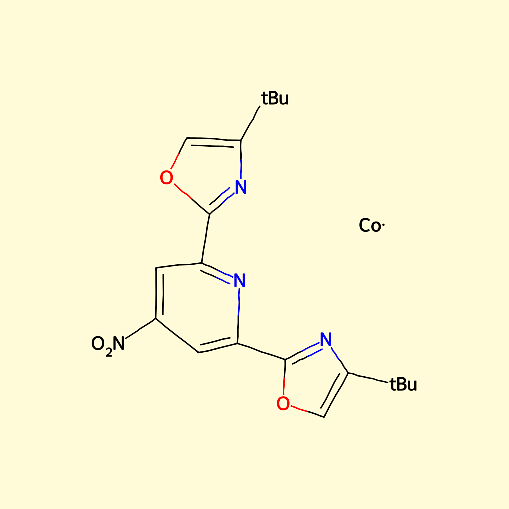 CC(C)(C)c1coc(-c2cc([N+](=O)[O-])cc(-c3nc(C(C)(C)C)co3)n2)n1.[Co]